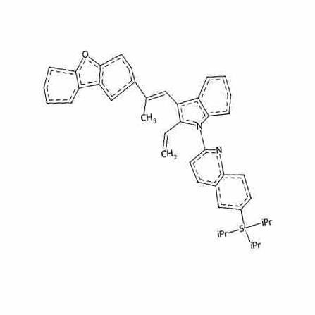 C=Cc1c(/C=C(\C)c2ccc3oc4ccccc4c3c2)c2ccccc2n1-c1ccc2cc([Si](C(C)C)(C(C)C)C(C)C)ccc2n1